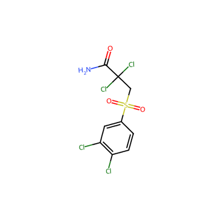 NC(=O)C(Cl)(Cl)CS(=O)(=O)c1ccc(Cl)c(Cl)c1